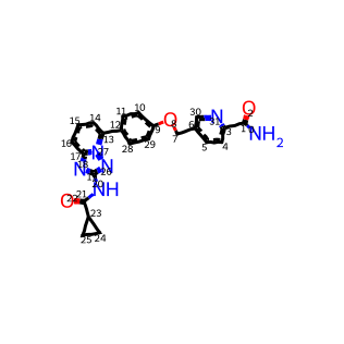 NC(=O)c1ccc(COc2ccc(-c3cccc4nc(NC(=O)C5CC5)nn34)cc2)cn1